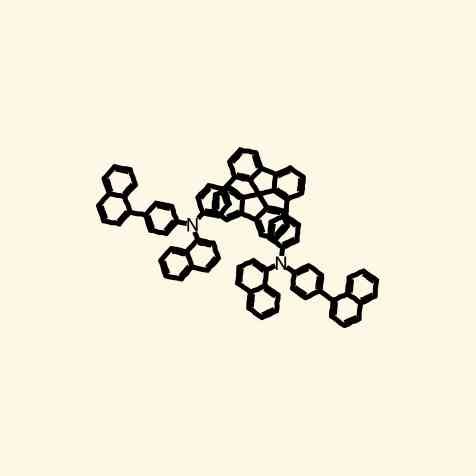 c1ccc2c(c1)-c1ccccc1C21c2c(-c3ccc(N(c4ccc(-c5cccc6ccccc56)cc4)c4cccc5ccccc45)cc3)cccc2-c2cccc(-c3ccc(N(c4ccc(-c5cccc6ccccc56)cc4)c4cccc5ccccc45)cc3)c21